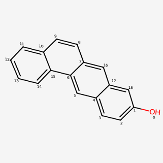 Oc1ccc2cc3c(ccc4ccccc43)cc2c1